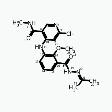 CNC(=O)c1cnc(Cl)cc1Nc1cccc(C(=O)NN=C(C)C)c1OC